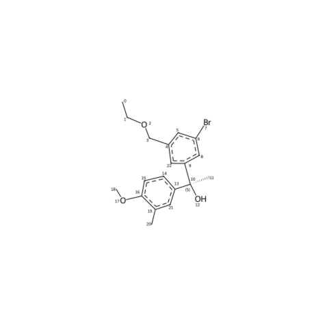 CCOCc1cc(Br)cc([C@@](C)(O)c2ccc(OC)c(C)c2)c1